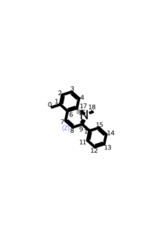 Cc1ccccc1/C=C\C(c1ccccc1)=[N+](C)C